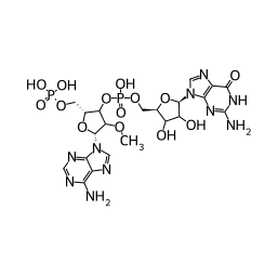 COC1C(OP(=O)(O)OC[C@H]2O[C@@H](n3cnc4c(=O)[nH]c(N)nc43)C(O)C2O)[C@@H](COP(=O)(O)O)O[C@H]1n1cnc2c(N)ncnc21